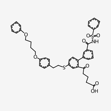 O=C(O)CCCC(=O)c1cc(SCCc2ccc(OCCCCOc3ccccc3)cc2)ccc1-c1cccc(C(=O)NS(=O)(=O)c2ccccc2)c1